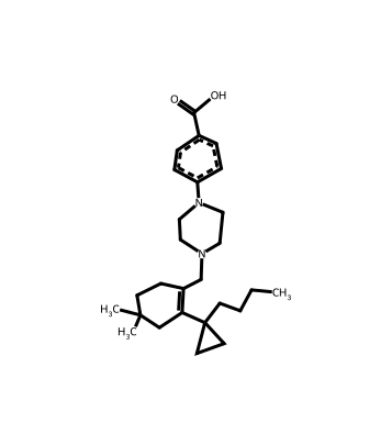 CCCCC1(C2=C(CN3CCN(c4ccc(C(=O)O)cc4)CC3)CCC(C)(C)C2)CC1